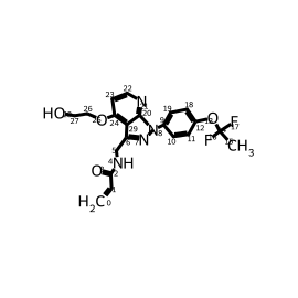 C=CC(=O)NCc1nn(-c2ccc(OC(C)(F)F)cc2)c2nccc(OCCO)c12